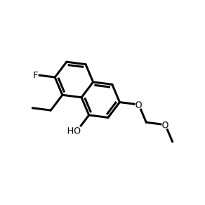 CCc1c(F)ccc2cc(OCOC)cc(O)c12